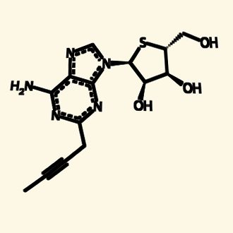 CC#CCc1nc(N)c2ncn([C@H]3S[C@H](CO)[C@@H](O)[C@H]3O)c2n1